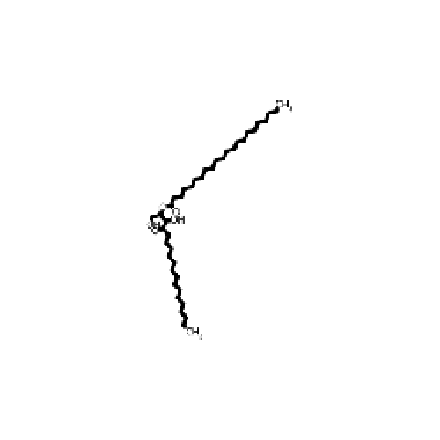 CCCCCCCCCCCCCCCCCCCCCC(=O)OC(CO)C(O)C(=O)CCCCCCCCCCCCCCC